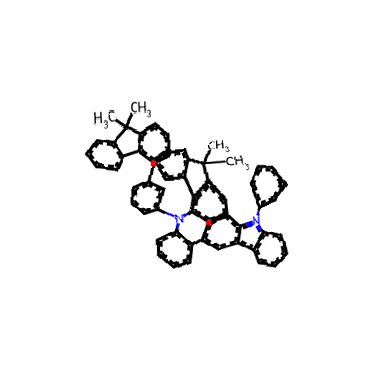 CC1(C)c2ccccc2-c2c(-c3cccc(N(c4ccccc4-c4ccc5c(c4)c4ccccc4n5-c4ccccc4)c4cccc5c4-c4ccccc4C5(C)C)c3)cccc21